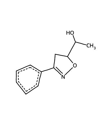 CC(O)C1CC(c2ccccc2)=NO1